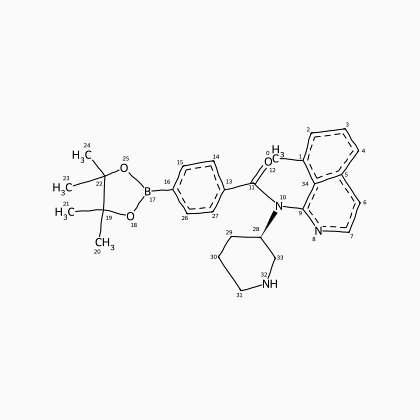 Cc1cccc2ccnc(N(C(=O)c3ccc(B4OC(C)(C)C(C)(C)O4)cc3)[C@@H]3CCCNC3)c12